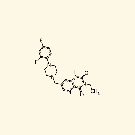 CCn1c(=O)[nH]c2cc(CN3CCN(c4ccc(F)cc4F)CC3)cnc2c1=O